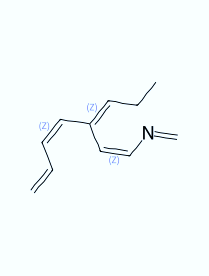 C=C\C=C/C(/C=C\N=C)=C/CC